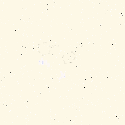 COc1ccc2c(c1OC)C(c1ccccc1N)C1CCCN(C)C21